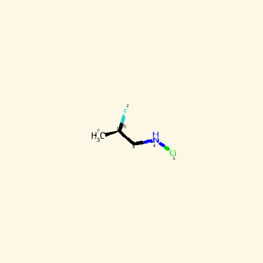 C[C@@H](F)CNCl